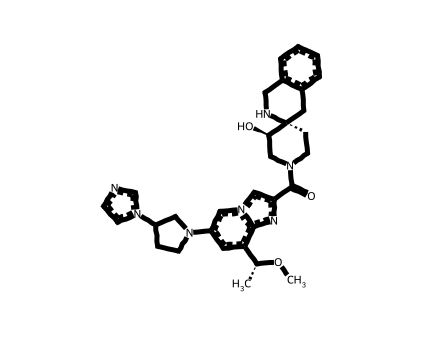 CO[C@H](C)c1cc(N2CCC(n3ccnc3)C2)cn2cc(C(=O)N3CC[C@]4(Cc5ccccc5CN4)[C@H](O)C3)nc12